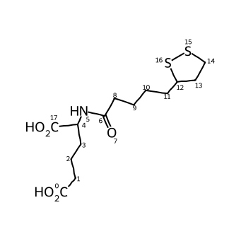 O=C(O)CCCC(NC(=O)CCCCC1CCSS1)C(=O)O